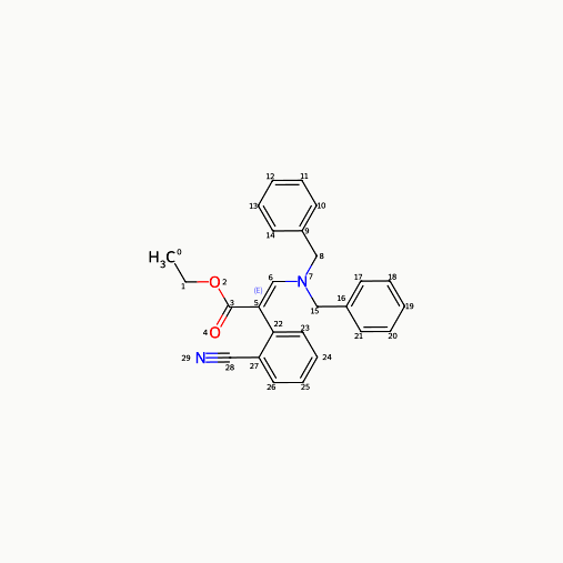 CCOC(=O)/C(=C/N(Cc1ccccc1)Cc1ccccc1)c1ccccc1C#N